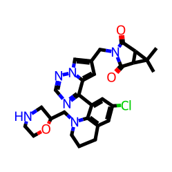 CC1(C)C2C(=O)N(Cc3cc4c(-c5cc(Cl)cc6c5N(CC5CNCCO5)CCC6)ncnn4c3)C(=O)C21